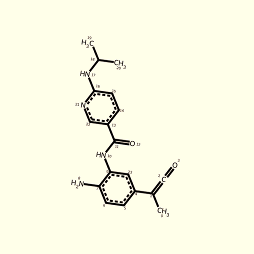 CC(=C=O)c1ccc(N)c(NC(=O)c2ccc(NC(C)C)nc2)c1